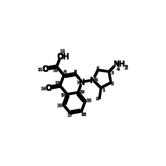 CC1CC(N)CN1n1cc(C(=O)O)c(=O)c2ccccc21